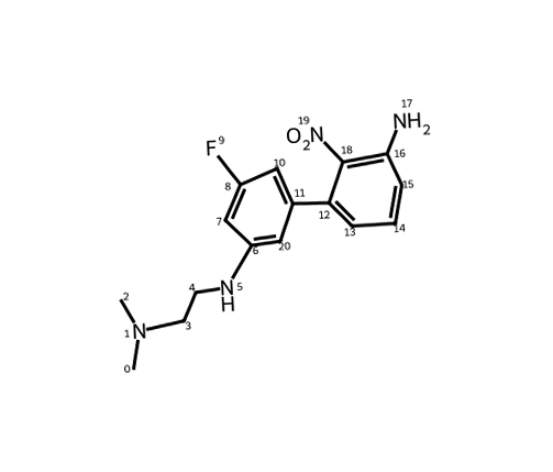 CN(C)CCNc1cc(F)cc(-c2cccc(N)c2[N+](=O)[O-])c1